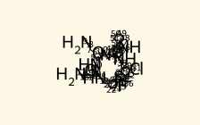 CN1C(=O)C(CCCCN)NC(=O)[C@H](CCCN)NCc2ccccc2Sc2c(cc(Cl)cc2C(F)(F)F)CNC(=O)[C@@H]1Cc1c[nH]c2ccccc12